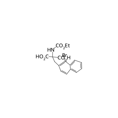 CCOC(=O)NC(Cc1ccc2ccccc2c1Br)(C(=O)O)C(=O)O